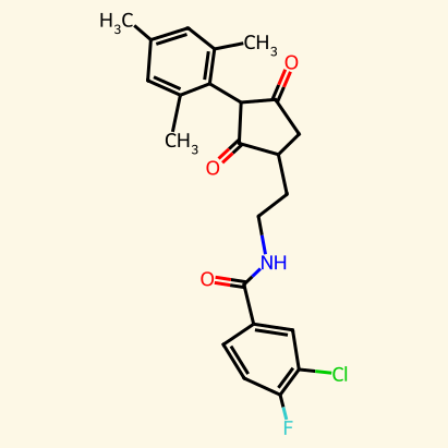 Cc1cc(C)c(C2C(=O)CC(CCNC(=O)c3ccc(F)c(Cl)c3)C2=O)c(C)c1